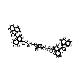 O=C(c1cccc2ccccc12)c1ccc(OCCCCO[N+](=O)OCCCCOc2ccc(C(=O)c3cccc4ccccc34)c3ccccc23)c2ccccc12